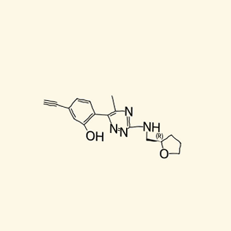 C#Cc1ccc(-c2nnc(NC[C@H]3CCCO3)nc2C)c(O)c1